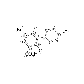 Cc1c(-c2ccc(F)cc2)c(=O)c(C(=O)O)cn1C(C)(C)C